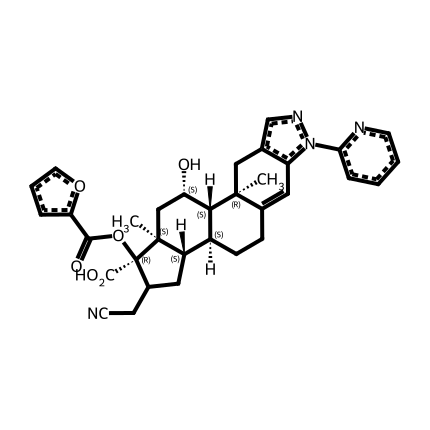 C[C@]12Cc3cnn(-c4ccccn4)c3C=C1CC[C@@H]1[C@@H]2[C@@H](O)C[C@@]2(C)[C@H]1CC(CC#N)[C@]2(OC(=O)c1ccco1)C(=O)O